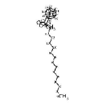 CCCCCCCCCCCCCCCC(=O)[C]12[CH]3[CH]4[CH]5[CH]1[Fe]45321678[CH]2[CH]1[CH]6[C]7(C(C)=O)[CH]28